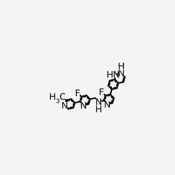 Cc1cc(-c2ncc(CNc3nccc(-c4ccc5c(c4)C=CNN5)c3F)cc2F)ccn1